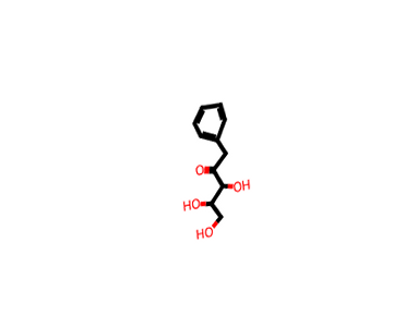 O=C(Cc1ccccc1)C(O)C(O)CO